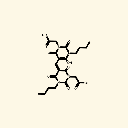 CCCCN1C(=O)C(=Cc2c(O)n(CCCC)c(=O)n(CC(=O)O)c2=O)C(=O)N(CC(=O)O)C1=O